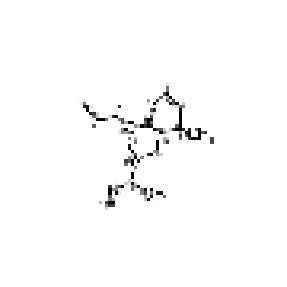 C=CCOc1cccc(C(F)(F)F)c1CN(C)C(O)N=C